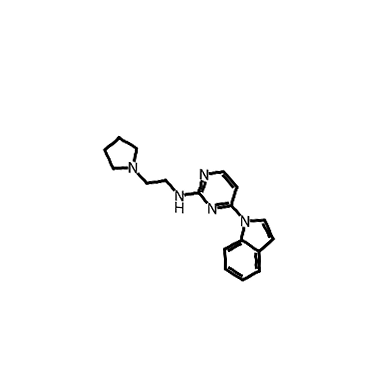 c1ccc2c(c1)ccn2-c1ccnc(NCCN2CCCC2)n1